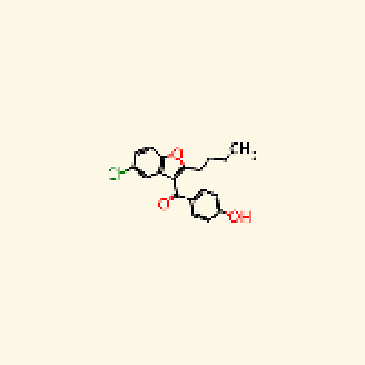 CCCCc1oc2ccc(Cl)cc2c1C(=O)c1ccc(O)cc1